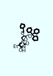 CCc1cn([C@H]2C[C@H](OCc3ccccc3)[C@@H](COC(c3ccccc3)(c3ccccc3)c3ccccc3)O2)c(=O)[nH]c1=O